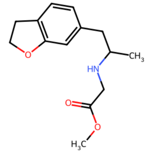 COC(=O)CNC(C)Cc1ccc2c(c1)OCC2